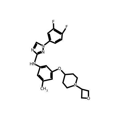 Cc1cc(Nc2ncn(-c3ccc(F)c(F)c3)n2)cc(OC2CCN(C3COC3)CC2)c1